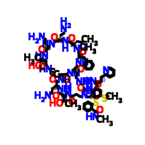 CNC(=O)c1ccccc1Sc1ccc(C(=N)/C=C/c2ccccn2)c(NC(=O)N(CCC(=O)N[C@H](C(=O)N[C@@H](CCN)C(=O)N[C@H]2CCNC(=O)[C@H]([C@@H](C)O)NC(=O)[C@H](CCN)NC(=O)[C@H](CCN)NC(=O)[C@H](CC(C)C)NC(=O)[C@@H](Cc3ccccc3)NC(=O)[C@H](CCN)NC2=O)[C@@H](C)O)C[C@H](CCSC)NC=O)c1